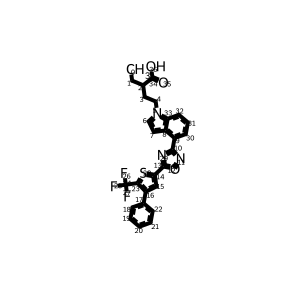 CCC(CCn1ccc2c(-c3noc(-c4cc(-c5ccccc5)c(C(F)(F)F)s4)n3)cccc21)C(=O)O